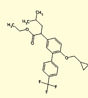 CCOC(=O)C(CC(C)C)c1ccc(OCC2CC2)c(-c2ccc(C(F)(F)F)cc2)c1